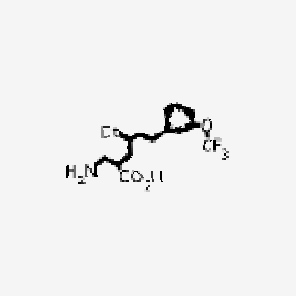 CCC(CCc1cccc(OC(F)(F)F)c1)CC(CN)C(=O)O